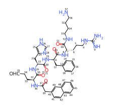 N=C(N)NCCC[C@H](NC(=O)[C@@H](Cc1ccccc1)NC(=O)[C@H](Cc1c[nH]cn1)NC(=O)[C@H](CCC=O)NC(=O)Cc1ccc2ccccc2c1)C(=O)NCCCCN